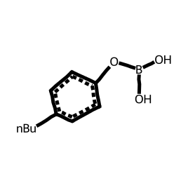 CCCCc1ccc(OB(O)O)cc1